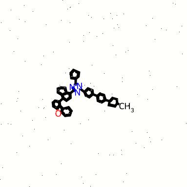 CC1C=CC(c2ccc(-c3ccc(-c4nc(-c5ccccc5)nc(-c5ccc(-c6cccc7oc8ccccc8c67)c6ccccc56)n4)cc3)cc2)=CC1